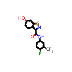 O=C(Nc1ccc(F)c(C(F)(F)F)c1)c1nsc2cc(O)ccc12